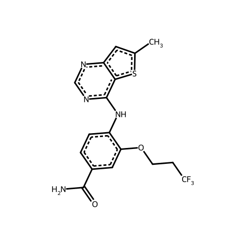 Cc1cc2ncnc(Nc3ccc(C(N)=O)cc3OCCC(F)(F)F)c2s1